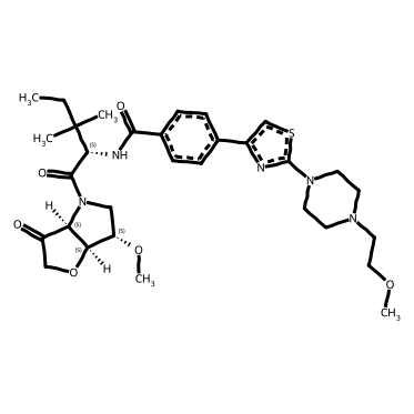 CCC(C)(C)[C@H](NC(=O)c1ccc(-c2csc(N3CCN(CCOC)CC3)n2)cc1)C(=O)N1C[C@H](OC)[C@H]2OCC(=O)[C@H]21